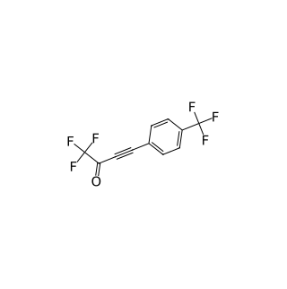 O=C(C#Cc1ccc(C(F)(F)F)cc1)C(F)(F)F